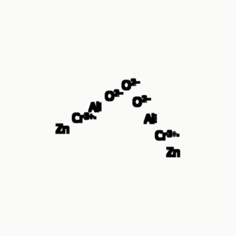 [Al].[Al].[Cr+3].[Cr+3].[O-2].[O-2].[O-2].[Zn].[Zn]